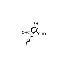 C/C=C/C=C/c1c(C=O)cc(S)cc1C=O